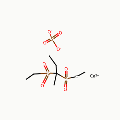 CCC(C)(S(=O)(=O)CC)S(=O)(=O)CC.O=S(=O)([O-])[O-].[Ca+2]